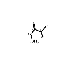 BSC(=C)C(C)C